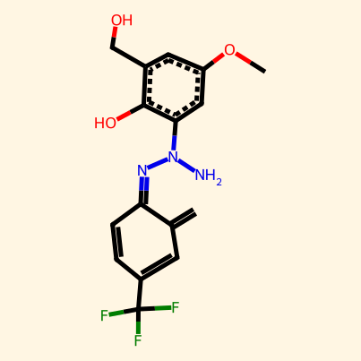 C=C1C=C(C(F)(F)F)C=C/C1=N/N(N)c1cc(OC)cc(CO)c1O